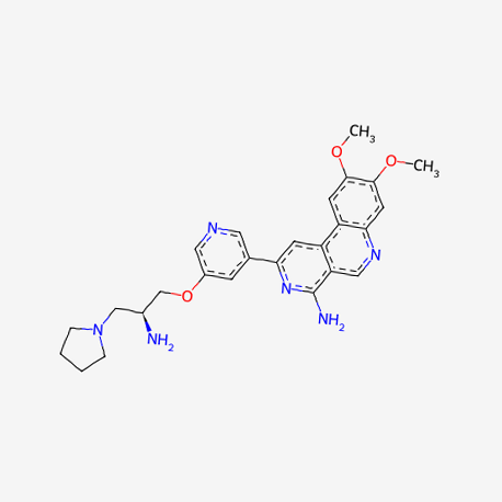 COc1cc2ncc3c(N)nc(-c4cncc(OC[C@@H](N)CN5CCCC5)c4)cc3c2cc1OC